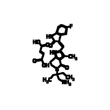 CCC(CC)(CN)N1CCc2[nH]c(C=C3C(=O)Nc4ccc(F)cc43)c(C)c2C1=O.O=C(O)C=CC(=O)O